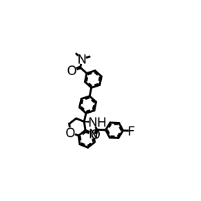 CN(C)C(=O)c1cccc(-c2ccc([C@@]3(NC(=O)c4ccc(F)cc4)CCOc4cccnc43)cc2)c1